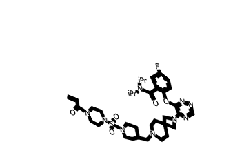 C=CC(=O)N1CCN(S(=O)(=O)N2CCC(CN3CCC4(CC3)CN(c3ncnnc3Oc3ccc(F)cc3C(=O)N(C(C)C)C(C)C)C4)CC2)CC1